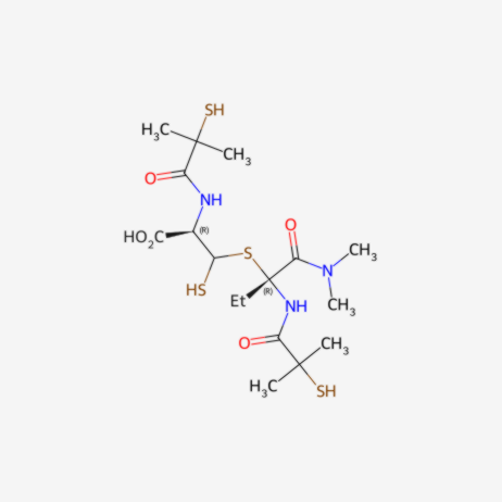 CC[C@@](NC(=O)C(C)(C)S)(SC(S)[C@H](NC(=O)C(C)(C)S)C(=O)O)C(=O)N(C)C